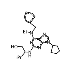 CCN(Cc1ccccc1)c1nc(NC(CO)C(C)C)nc2c1ncn2C1CCCC1